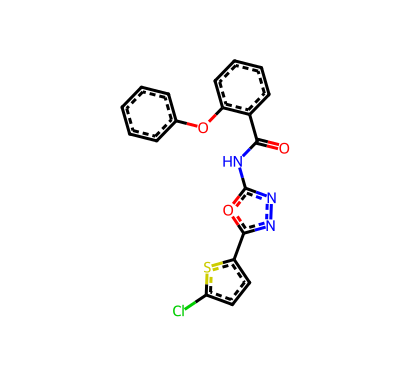 O=C(Nc1nnc(-c2ccc(Cl)s2)o1)c1ccccc1Oc1ccccc1